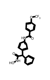 O=C(Nc1ccc(C(C(=O)NO)c2ccccc2)cc1)c1ccc(OC(F)(F)F)cc1